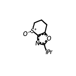 CC(C)c1nc2c(o1)CCC[S+]2[O-]